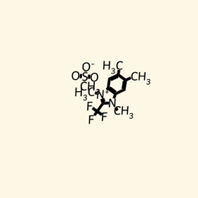 CS(=O)(=O)[O-].Cc1cc2c(cc1C)[n+](C)c(C(F)(F)F)n2C